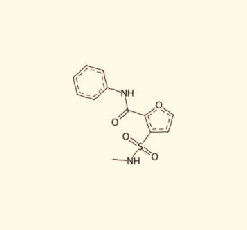 CNS(=O)(=O)c1ccoc1C(=O)Nc1ccccc1